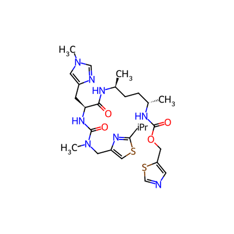 CC(C)c1nc(CN(C)C(=O)N[C@@H](Cc2cn(C)cn2)C(=O)N[C@@H](C)CC[C@H](C)NC(=O)OCc2cncs2)cs1